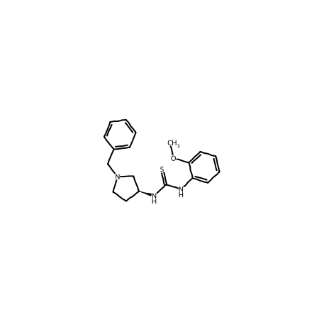 COc1ccccc1NC(=S)N[C@H]1CCN(Cc2ccccc2)C1